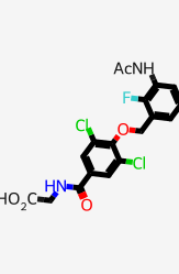 CC(=O)Nc1cccc(COc2c(Cl)cc(C(=O)NCC(=O)O)cc2Cl)c1F